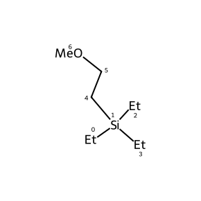 CC[Si](CC)(CC)CCOC